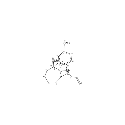 C=CCN[C@H]1C2CCCC[C@]1(OC)c1cc(OC)ccc1C2